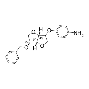 Nc1ccc(OC2CO[C@@H]3[C@@H](OCc4ccccc4)CO[C@H]23)cc1